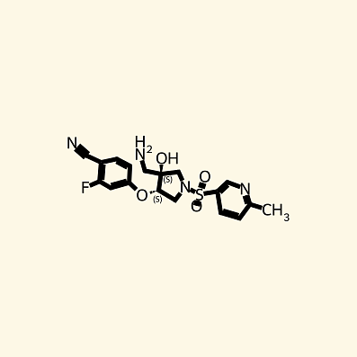 Cc1ccc(S(=O)(=O)N2C[C@H](Oc3ccc(C#N)c(F)c3)[C@](O)(CN)C2)cn1